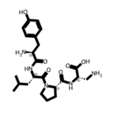 CC(C)C[C@H](NC(=O)[C@@H](N)Cc1ccc(O)cc1)C(=O)N1CCC[C@H]1C(=O)N[C@@H](CN)C(=O)O